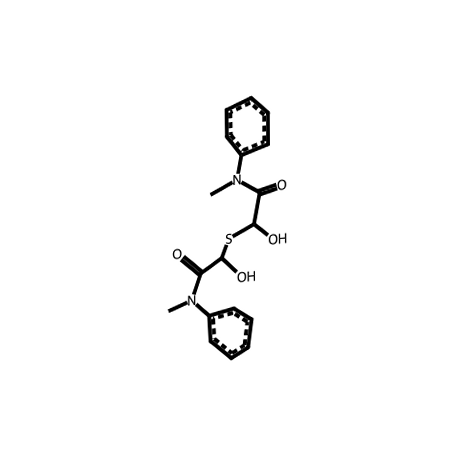 CN(C(=O)C(O)SC(O)C(=O)N(C)c1ccccc1)c1ccccc1